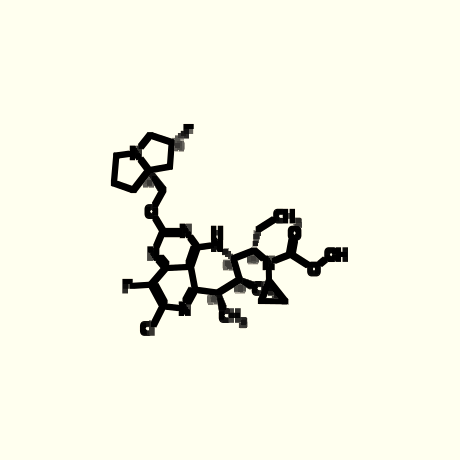 CC[C@@H]([C@H]1Nc2nc(OC[C@@]34CCCN3C[C@H](F)C4)nc3c(F)c(Cl)nc(c23)[C@H](C)[C@@H]1C)N(C(=O)OO)C1CC1